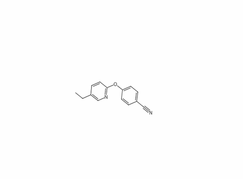 CCc1ccc(Oc2ccc(C#N)cc2)nc1